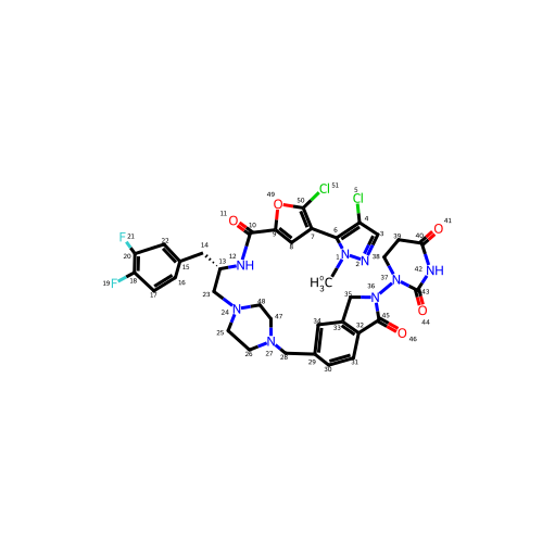 Cn1ncc(Cl)c1-c1cc(C(=O)N[C@@H](Cc2ccc(F)c(F)c2)CN2CCN(Cc3ccc4c(c3)CN(N3CCC(=O)NC3=O)C4=O)CC2)oc1Cl